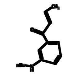 CC=CC(=O)c1cccc(NCCCC)c1